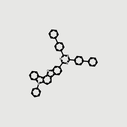 c1ccc(-c2ccc(-c3nc(-c4ccc(-c5ccccc5)cc4)nc(-c4ccc5c(c4)oc4c5ccc5c4c4ccccc4n5-c4ccccc4)n3)cc2)cc1